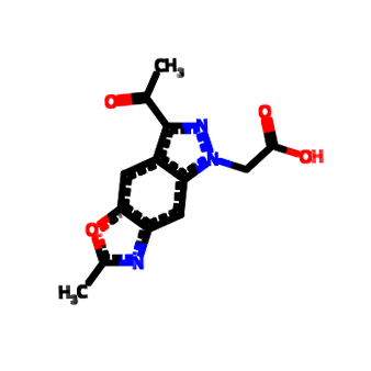 CC(=O)c1nn(CC(=O)O)c2cc3nc(C)oc3cc12